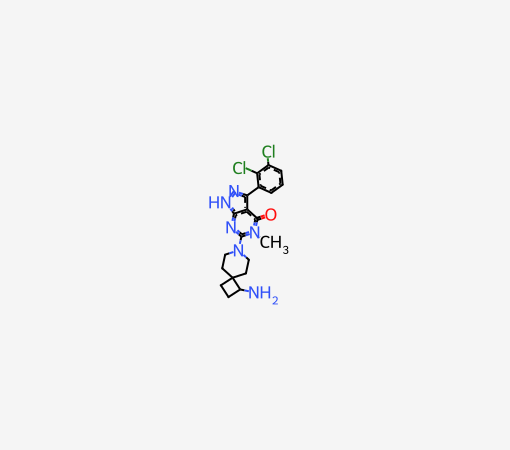 Cn1c(N2CCC3(CCC3N)CC2)nc2[nH]nc(-c3cccc(Cl)c3Cl)c2c1=O